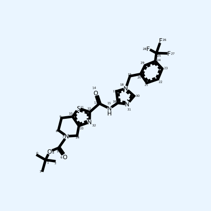 CC(C)(C)OC(=O)N1CCc2sc(C(=O)Nc3cn(Cc4cccc(C(F)(F)F)c4)cn3)nc2C1